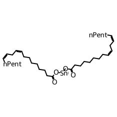 CCCCC/C=C\C/C=C\CCCCCCCC(=O)[O][Sn][O]C(=O)CCCCCCC/C=C\C/C=C\CCCCC